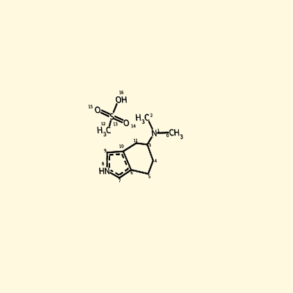 CN(C)C1CCc2c[nH]cc2C1.CS(=O)(=O)O